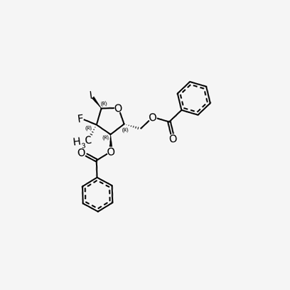 C[C@@]1(F)[C@H](OC(=O)c2ccccc2)[C@@H](COC(=O)c2ccccc2)O[C@@H]1I